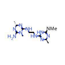 CNC1=N[C@@H](C)N=C(NCCNC2=N[C@@H](C)N=C(N)N2C)N1